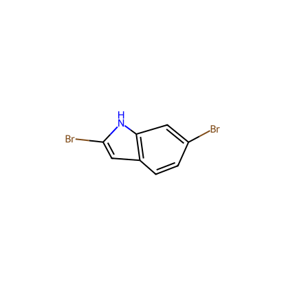 Brc1ccc2cc(Br)[nH]c2c1